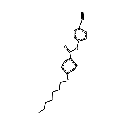 C#Cc1ccc(OC(=O)c2ccc(OCCCCCCC)cc2)cc1